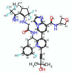 C[C@H]1CC(F)(F)C(NCC(=O)NC(Cc2cc(F)cc(F)c2)c2nc(C#CC(C)(C)O)ccc2-c2cc(C(=O)NC3COC3)c3nccn3c2)=C1C(=N)C(F)(F)F